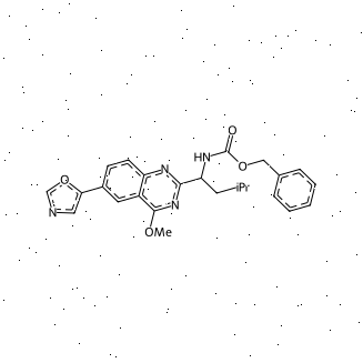 COc1nc(C(CC(C)C)NC(=O)OCc2ccccc2)nc2ccc(-c3cnco3)cc12